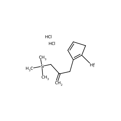 C=C(CC1=[C]([Hf])CC=C1)C[Si](C)(C)C.Cl.Cl